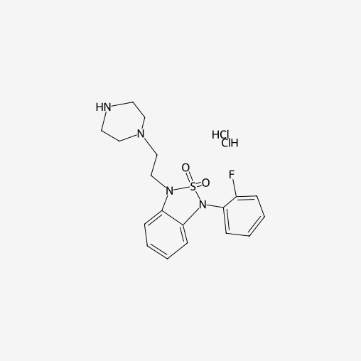 Cl.Cl.O=S1(=O)N(CCN2CCNCC2)c2ccccc2N1c1ccccc1F